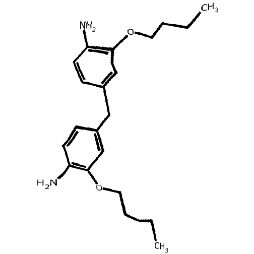 CCCCOc1cc(Cc2ccc(N)c(OCCCC)c2)ccc1N